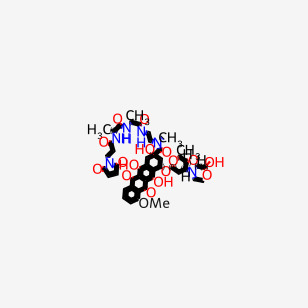 COc1cccc2c1C(=O)c1c(O)c3c(c(O)c1C2=O)C[C@@](O)(C(=O)N(C)CCNC(=O)[C@H](C)NC(=O)[C@H](C)NC(=O)CCN1C(=O)C=CC1=O)C[C@@H]3O[C@H]1C[C@H]2[C@H](O[C@@H]3[C@@H](O)OCCN32)[C@H](C)O1